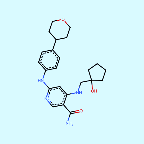 NC(=O)c1cnc(Nc2ccc(C3CCOCC3)cc2)cc1NCC1(O)CCCC1